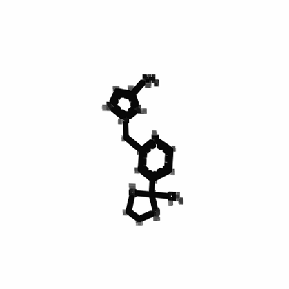 CC1(c2ccnc(Cn3ncc(N)n3)c2)OCCO1